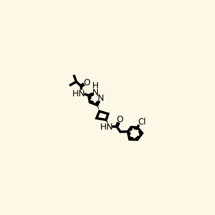 CC(C)C(=O)Nc1cc([C@H]2C[C@@H](NC(=O)Cc3cccc(Cl)c3)C2)n[nH]1